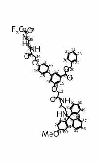 COc1ccc(C(NCCNC(=O)COc2cc(C(=O)OCc3ccccc3)cc(-c3ccc(OCC(=O)NCCNC(=O)C(F)(F)F)cc3)c2)(c2ccccc2)c2ccccc2)cc1